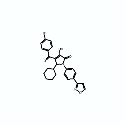 O=C(C1=C(O)C(=O)N(c2ccc(-c3ccon3)cc2)C1C1CCCCC1)c1ccc(Br)cc1